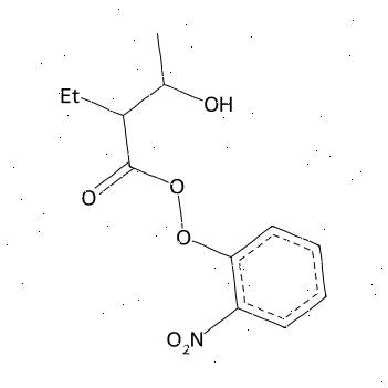 CCC(C(=O)OOc1ccccc1[N+](=O)[O-])C(C)O